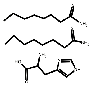 CCCCCCCC(N)=S.CCCCCCCC(N)=S.NC(Cc1c[nH]cn1)C(=O)O